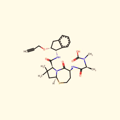 C#CCO[C@@H]1Cc2ccccc2[C@@H]1NC(=O)[C@H]1N2C(=O)[C@@H](NC(=O)[C@H](C)N(C)C(=O)O)CCS[C@H]2CC1(C)C